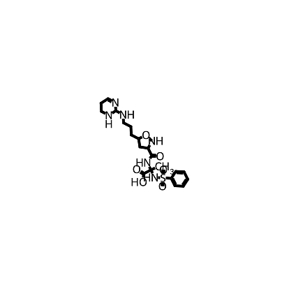 CC(NC(=O)C1CC(CCCNC2N=CCCN2)ON1)(NS(=O)(=O)c1ccccc1)C(=O)O